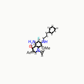 COc1c(NCCCc2ccccc2)c(F)c(N)c2c(=O)c(C(C)=O)cn(C3CC3)c12